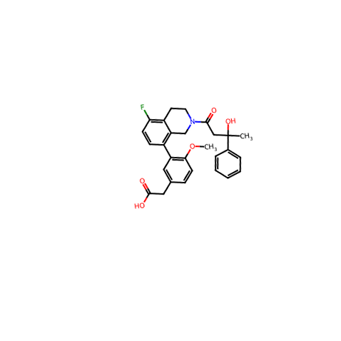 COc1ccc(CC(=O)O)cc1-c1ccc(F)c2c1CN(C(=O)CC(C)(O)c1ccccc1)CC2